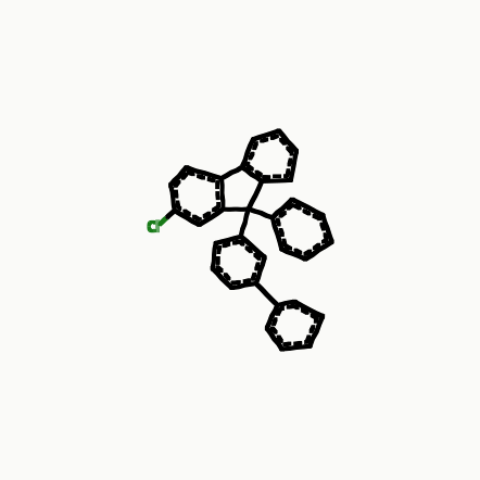 Clc1ccc2c(c1)C(c1ccccc1)(c1cccc(-c3ccccc3)c1)c1ccccc1-2